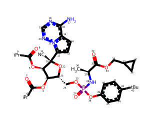 CC(C)C(=O)O[C@H]1[C@@H](OC(=O)C(C)C)[C@](C#N)(c2ccc3c(N)ncnn23)O[C@@H]1COP(=O)(N[C@@H](C)C(=O)OCC1CC1)Oc1ccc(C(C)(C)C)cc1